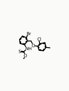 COC(=S)Nc1cccc(Br)c1COc1ccc(C)cc1Cl